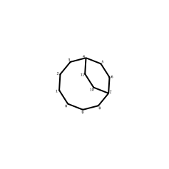 C1CCCC2CC[C](CC1)CC2